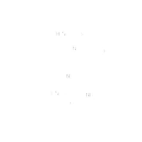 CCCNC(=O)c1ncc2c(-c3nc(N)sc3C)c(F)ccc2c1N